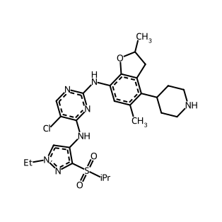 CCn1cc(Nc2nc(Nc3cc(C)c(C4CCNCC4)c4c3OC(C)C4)ncc2Cl)c(S(=O)(=O)C(C)C)n1